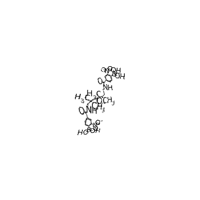 CC(C)(CNC(=O)c1ccc(B(O)O)c([N+](=O)[O-])c1)COC(C)(C)CCNC(=O)c1ccc(B(O)O)c([N+](=O)[O-])c1